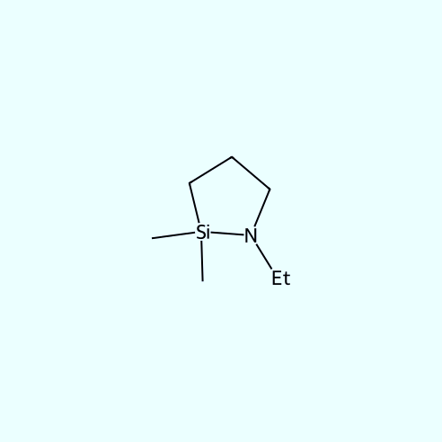 CCN1CCC[Si]1(C)C